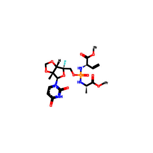 C=C[C@H](NP(=O)(N[C@@H](C)C(=O)OC(C)C)OC[C@@]1(F)O[C@@H](n2ccc(=O)[nH]c2=O)[C@]2(C)OCO[C@@H]21)C(=O)OC(C)C